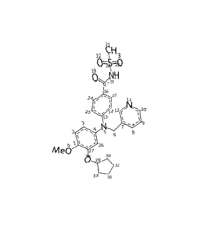 COc1ccc(N(Cc2cccnc2)c2ccc(C(=O)NS(C)(=O)=O)cc2)cc1OC1CCCC1